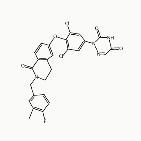 Cc1cc(CN2CCc3cc(Oc4c(Cl)cc(-n5ncc(=O)[nH]c5=O)cc4Cl)ccc3C2=O)ccc1F